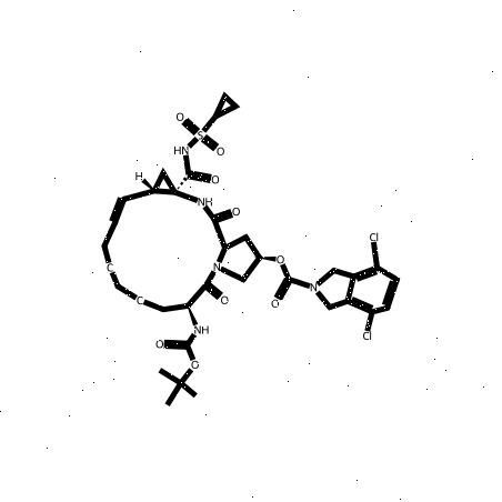 CC(C)(C)OC(=O)N[C@H]1CCCCC/C=C\[C@@H]2C[C@@]2(C(=O)NS(=O)(=O)C2CC2)NC(=O)C2C[C@@H](OC(=O)N3Cc4c(Cl)ccc(Cl)c4C3)CN2C1=O